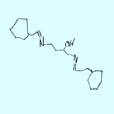 OC(CC/N=C/C1CCCCC1)C/N=C/CC1CCCCC1